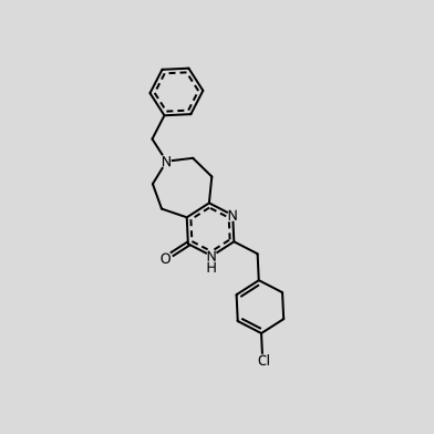 O=c1[nH]c(CC2=CC=C(Cl)CC2)nc2c1CCN(Cc1ccccc1)CC2